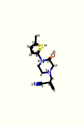 C=C(C#N)CN1CCN(c2ccc(C)s2)C(=O)C1